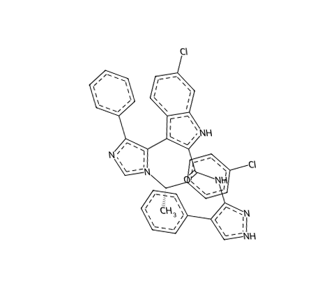 C[C@@H](c1ccc(Cl)cc1)n1cnc(-c2ccccc2)c1-c1c(C(=O)Nc2n[nH]cc2-c2ccccc2)[nH]c2cc(Cl)ccc12